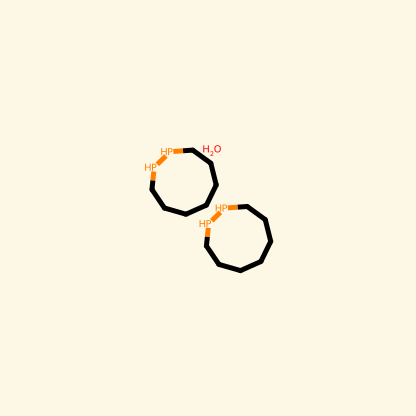 C1CCCPPCCC1.C1CCCPPCCC1.O